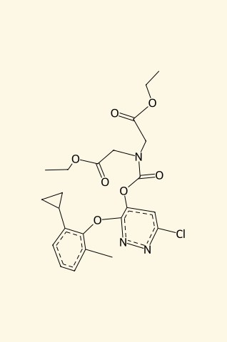 CCOC(=O)CN(CC(=O)OCC)C(=O)Oc1cc(Cl)nnc1Oc1c(C)cccc1C1CC1